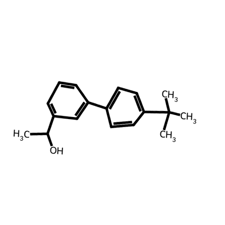 CC(O)c1cccc(-c2ccc(C(C)(C)C)cc2)c1